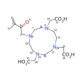 C=C(C)C(=O)CN1CCN(CC(=O)O)CCN(CC(=O)O)CCN(CC(=O)O)CC1